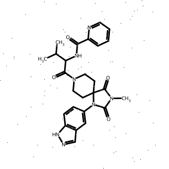 CC(C)C(NC(=O)c1ccccn1)C(=O)N1CCC2(CC1)C(=O)N(C)C(=O)N2c1ccc2[nH]ncc2c1